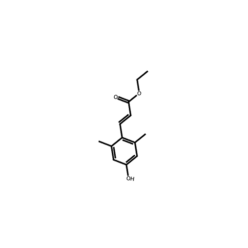 CCOC(=O)C=Cc1c(C)cc(O)cc1C